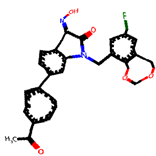 CC(=O)c1ccc(-c2ccc3c(c2)N(Cc2cc(F)cc4c2OCOC4)C(=O)/C3=N\O)cc1